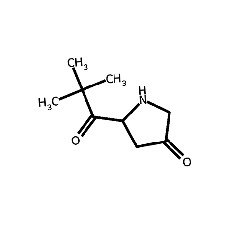 CC(C)(C)C(=O)C1CC(=O)CN1